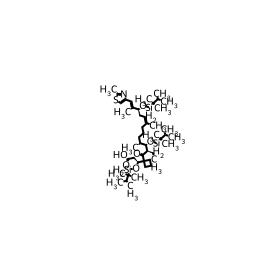 CC[C@@H](C(=O)C1([C@H](CC(=O)O)O[SiH2]C(C)(C)C(C)C)CCC1)[C@H](O[SiH2]C(C)(C)C(C)C)[C@@H](C)CCC/C(C)=C\C[C@H](O[SiH2]C(C)(C)C(C)C)/C(C)=C/c1csc(C)n1